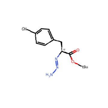 CC(C)(C)OC(=O)[C@H](Cc1ccc(N=O)cc1)N=NN